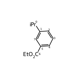 [CH2]C(C)c1cccc(C(=O)OCC)c1